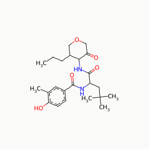 CCCC1COCC(=O)C1NC(=O)C(CC(C)(C)C)NC(=O)c1ccc(O)c(C)c1